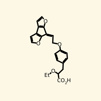 CCOC(Cc1ccc(OCC=C2c3occc3-c3ccoc32)cc1)C(=O)O